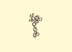 COc1cc(N2CCN(C(=O)OC(C)(C)C)CC2)ccc1Nc1nc(Cl)ncc1C(F)(F)F